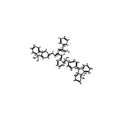 CC(C(=C/Cc1ccc2c(c1)-c1ccccc1C2(C)C)/N=C(\N)c1ccccc1)=c1cccc/c1=C(/C)c1ccc(-n2c3ccccc3c3ccccc32)cc1